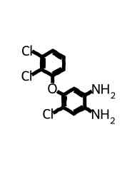 Nc1cc(Cl)c(Oc2cccc(Cl)c2Cl)cc1N